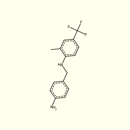 Cc1cc(C(F)(F)F)ccc1NCc1ccc(N)cc1